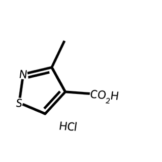 Cc1nscc1C(=O)O.Cl